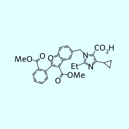 CCc1nc(C2CC2)c(C(=O)O)n1Cc1ccc2oc(-c3ccccc3C(=O)OC)c(C(=O)OC)c2c1